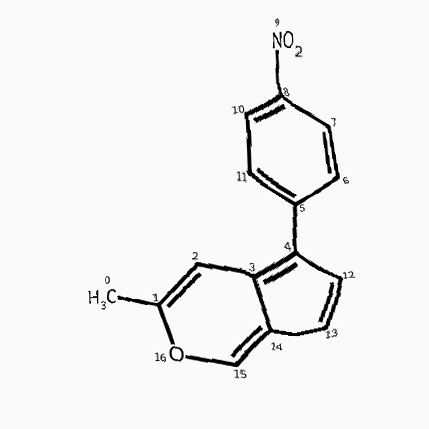 Cc1cc2c(-c3ccc([N+](=O)[O-])cc3)ccc-2co1